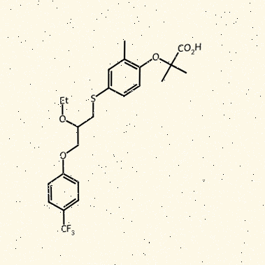 CCOC(COc1ccc(C(F)(F)F)cc1)CSc1ccc(OC(C)(C)C(=O)O)c(C)c1